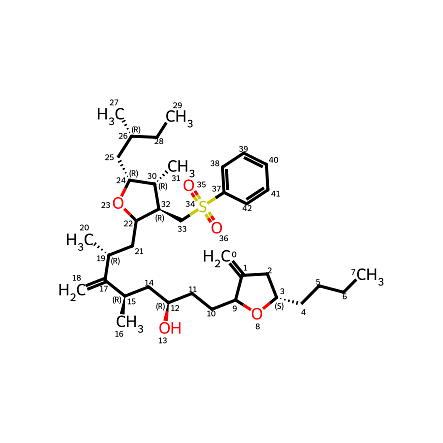 C=C1C[C@H](CCCC)OC1CC[C@@H](O)C[C@@H](C)C(=C)[C@H](C)CC1O[C@H](C[C@H](C)CC)[C@H](C)[C@H]1CS(=O)(=O)c1ccccc1